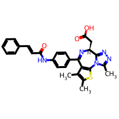 Cc1sc2c(c1C)C(c1ccc(NC(=O)C=Cc3ccccc3)cc1)=N[C@@H](CC(=O)O)c1nnc(C)n1-2